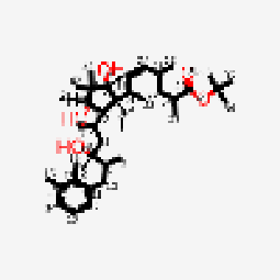 [2H][C@@]1(C(C)C[C@@](C)(O)C(C)Cc2cccc(C)c2C)[C@@](C)(C(C)/C=C\C(C)CC(C)C(=O)OC(C)(C)C)[C@@](C)(O)C(C)(C)[C@@]1([2H])O